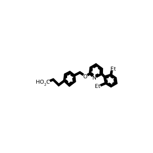 CCc1cccc(CC)c1-c1cccc(OCc2ccc(CCC(=O)O)cc2)n1